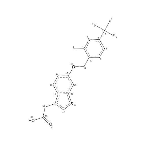 Cc1nc(C(F)(F)F)ccc1COc1ccc2c(CC(=O)O)csc2c1